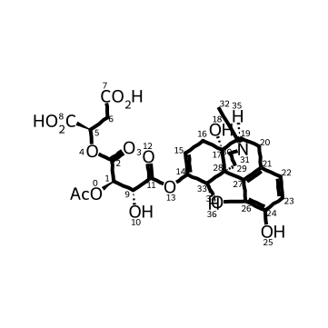 CC(=O)O[C@@H](C(=O)O[C@H](CC(=O)O)C(=O)O)[C@@H](O)C(=O)OC1=CC[C@@]2(O)[C@H]3Cc4ccc(O)c5c4[C@@]2(CCN3C)[C@H]1O5